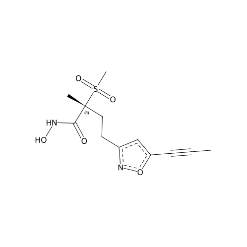 CC#Cc1cc(CC[C@](C)(C(=O)NO)S(C)(=O)=O)no1